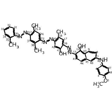 COc1ccc(Nc2ccc3c(O)c(N=Nc4cc(C)c(N=Nc5cc(C)c(N=Nc6ccccc6C)cc5C)cc4O)ccc3c2)cc1